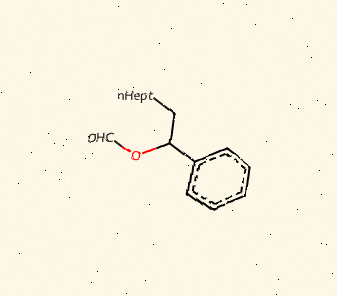 CCCCCCCCC(OC=O)c1ccccc1